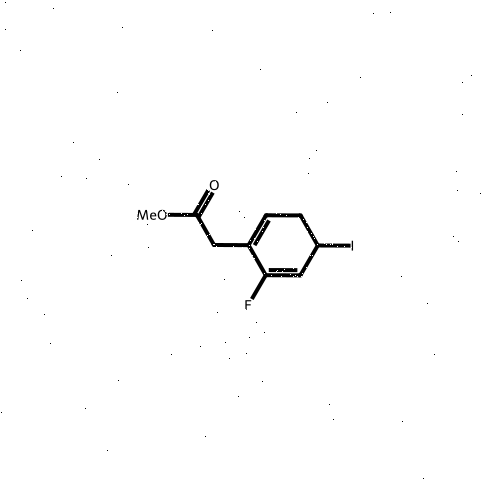 COC(=O)CC1=CCC(I)C=C1F